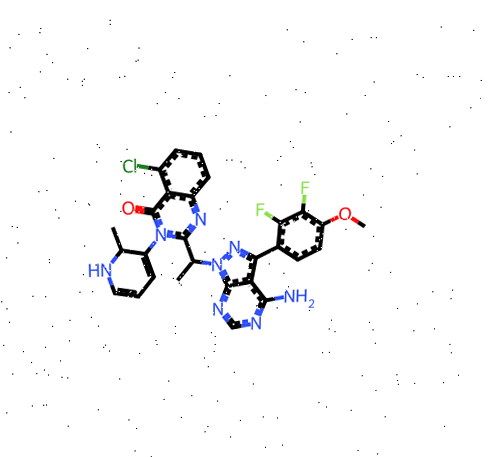 COc1ccc(-c2nn(C(C)c3nc4cccc(Cl)c4c(=O)n3C3=CC=CNC3C)c3ncnc(N)c23)c(F)c1F